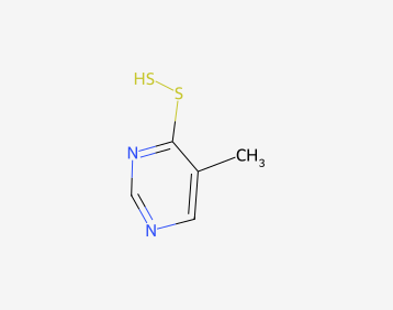 Cc1cncnc1SS